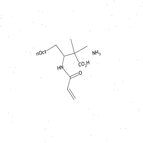 C=CC(=O)NC(CCCCCCCCC)C(C)(C)C(=O)O.N